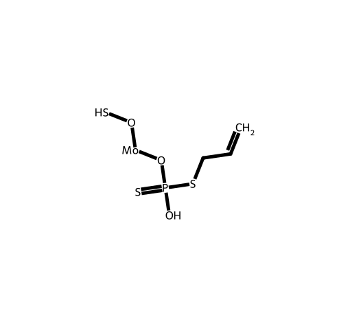 C=CCSP(O)(=S)[O][Mo][O]S